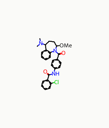 COC1CCC(N(C)C)c2ccccc2N1C(=O)c1ccc(NC(=O)c2ccccc2Cl)cc1